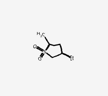 CCC1CC(C)S(=O)(=O)C1